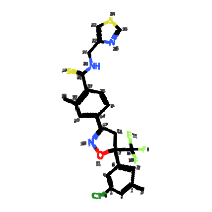 Cc1cc(Cl)cc(C2(C(F)(F)F)CC(c3ccc(C(=S)NCc4cscn4)c(C)c3)=NO2)c1